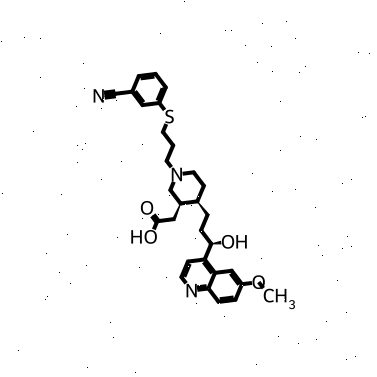 COc1ccc2nccc([C@H](O)CC[C@@H]3CCN(CCCSc4cccc(C#N)c4)C[C@@H]3CC(=O)O)c2c1